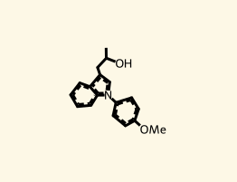 COc1ccc(-n2cc(CC(C)O)c3ccccc32)cc1